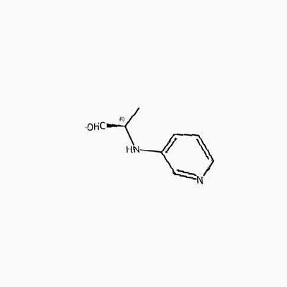 C[C@H]([C]=O)Nc1cccnc1